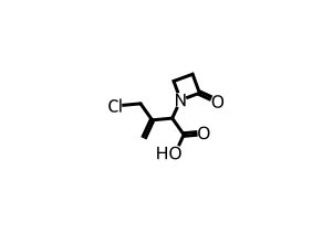 C=C(CCl)C(C(=O)O)N1CCC1=O